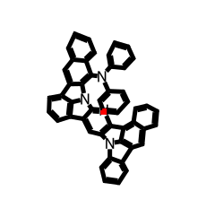 c1ccc(N(c2ccccc2)c2c3ccccc3cc3c4cccc5c6cc7c(nc6n(c23)c54)c2c3ccccc3cc3c4ccccc4n7c32)cc1